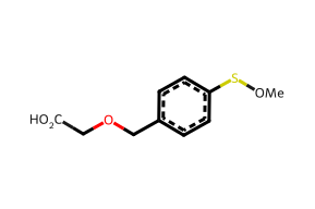 COSc1ccc(COCC(=O)O)cc1